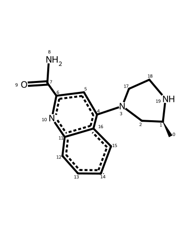 C[C@H]1CN(c2cc(C(N)=O)nc3cc[c]cc23)CCN1